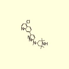 CN(c1ccc(-c2ccc3c(Cl)ccnc3c2)nn1)C1CC(C)(C)NC(C)(C)C1